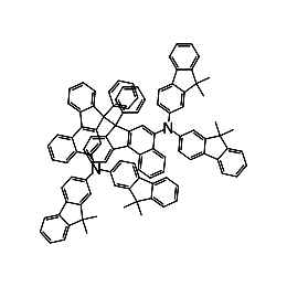 CC1(C)c2ccccc2-c2ccc(N(c3ccc4c(c3)C(C)(C)c3ccccc3-4)c3cc4c(c5ccccc35)-c3ccccc3C4(c3ccccc3)C3(c4ccccc4)c4ccccc4-c4c3cc(N(c3ccc5c(c3)C(C)(C)c3ccccc3-5)c3ccc5c(c3)C(C)(C)c3ccccc3-5)c3ccccc43)cc21